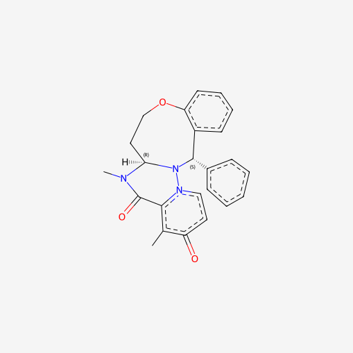 Cc1c2n(ccc1=O)N1[C@@H](c3ccccc3)c3ccccc3OCC[C@@H]1N(C)C2=O